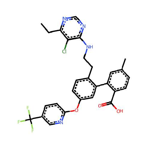 CCc1ncnc(NCCc2ccc(Oc3ccc(C(F)(F)F)cn3)cc2-c2cc(C)ccc2C(=O)O)c1Cl